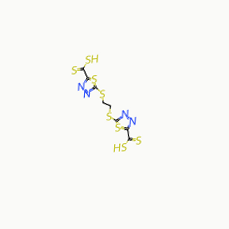 S=C(S)c1nnc(SCCSc2nnc(C(=S)S)s2)s1